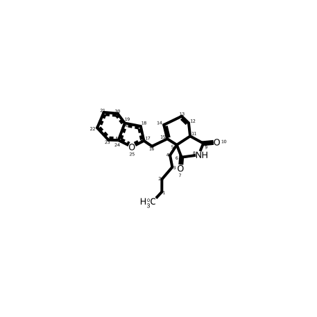 CCCCCC12C(=O)NC(=O)C1C=CC=C2Cc1cc2ccccc2o1